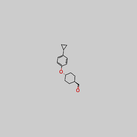 O=C[C@H]1CC[C@H](Oc2ccc(C3CC3)cc2)CC1